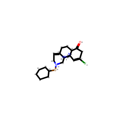 O=C1CC(F)=CC23N=CNC24CN(SC2CCCCC2)CC=C4CCC13